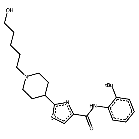 CC(C)(C)c1ccccc1NC(=O)c1csc(C2CCN(CCCCCO)CC2)n1